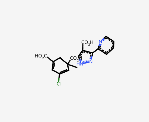 CC1(C(=O)O)C=C(Cl)C=C(C(=O)O)C1.O=C(O)c1c[nH]nc1-c1ccccn1